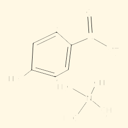 C[N+](C)(C)C.Cc1ccc(S(=O)O)cc1